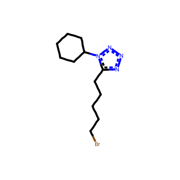 BrCCCCCc1nnnn1C1CCCCC1